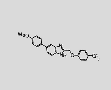 COc1ccc(-c2ccc3[nH]c(COc4ccc(C(F)(F)F)cc4)nc3c2)cc1